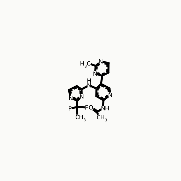 CC(=O)Nc1cc(Nc2ccnc(C(C)(F)F)n2)c(-c2ccnc(C)n2)cn1